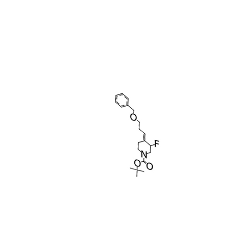 CC(C)(C)OC(=O)N1CC/C(=C\CCOCc2ccccc2)C(F)C1